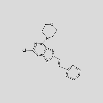 Clc1nc(N2CCOCC2)c2nc(C=Cc3ccccc3)sc2n1